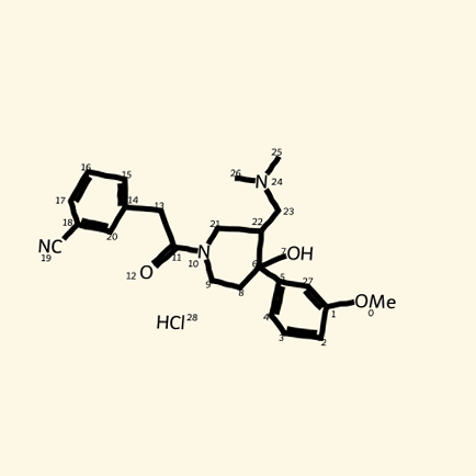 COc1cccc(C2(O)CCN(C(=O)Cc3cccc(C#N)c3)CC2CN(C)C)c1.Cl